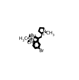 CN1CCC[C@@H]1Cc1cn([Si](C)(C)C(C)(C)C)c2ccc(Br)cc12